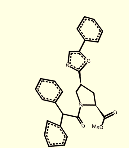 COC(=O)[C@@H]1C[C@H](c2ncc(-c3ccccc3)o2)CN1C(=O)C(c1ccccc1)c1ccccc1